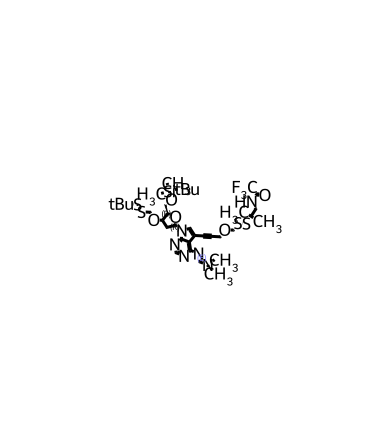 CN(C)/C=N/c1ncnc2c1c(C#CCOCSSC(C)(C)CNC(=O)C(F)(F)F)cn2[C@H]1CC(OCSSC(C)(C)C)[C@@H](CO[Si](C)(C)C(C)(C)C)O1